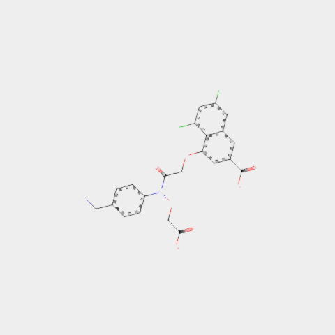 NCc1ccc(N(OCC(=O)O)C(=O)COc2cc(C(=O)O)cc3cc(Cl)cc(Cl)c23)cc1